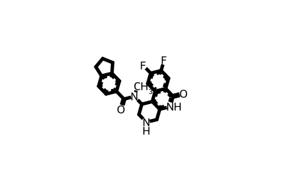 CN(C(=O)c1ccc2c(c1)CCC2)C1CNCc2[nH]c(=O)c3cc(F)c(F)cc3c21